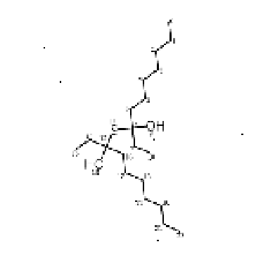 CCCCCCCC(O)(CC)SC(O)(CC)CCCCCCC